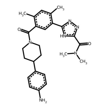 Cc1cc(C)c(-c2nnc(C(=O)N(C)C)[nH]2)cc1C(=O)N1CCC(c2ccc(N)cc2)CC1